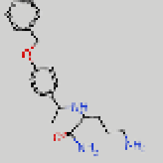 CC(NC(CCCN)C(N)=O)c1ccc(OCc2ccccc2)cc1